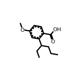 CCCC(CC)c1cc(OC)ccc1C(=O)O